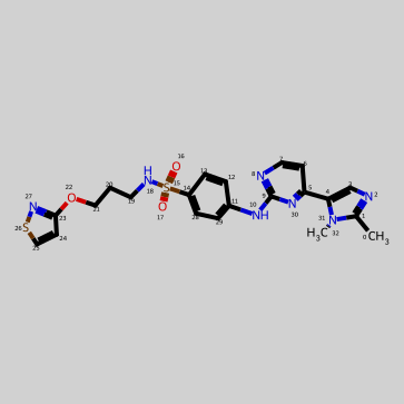 Cc1ncc(-c2ccnc(Nc3ccc(S(=O)(=O)NCCCOc4ccsn4)cc3)n2)n1C